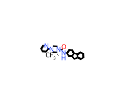 C[C@@H]1CN(c2ncccc2C(F)(F)F)CCN1C(=O)Nc1ccc2c(c1)Cc1ccccc1-2